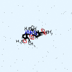 CCc1c(OC)cccc1C(=O)NN(C(=O)c1ccc(C(=O)OC)cn1)C(C)(C)C